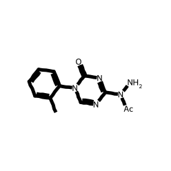 CC(=O)N(N)c1ncn(-c2ccccc2C)c(=O)n1